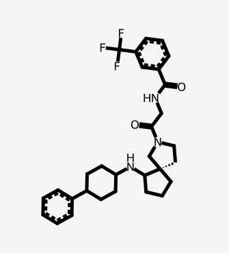 O=C(NCC(=O)N1CC[C@@]2(CCCC2NC2CCC(c3ccccc3)CC2)C1)c1cccc(C(F)(F)F)c1